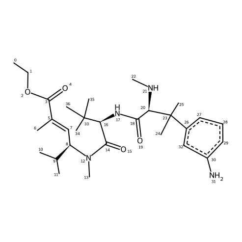 CCOC(=O)/C(C)=C/[C@H](C(C)C)N(C)C(=O)[C@H](NC(=O)[C@@H](NC)C(C)(C)c1cccc(N)c1)C(C)(C)C